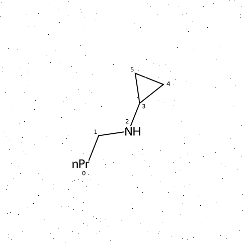 [CH2]CCCNC1CC1